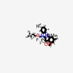 COc1cc(C)cc(C)c1C(O)(c1nc2ccc(C#N)cc2n1COCC[Si](C)(C)C)C(F)(F)F